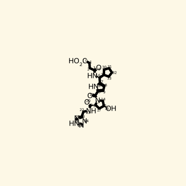 O=C(O)CCC(=O)N[C@H](c1ccc(C(=O)N2C[C@@H](O)C[C@H]2C(=O)NCc2nn[nH]n2)[nH]1)C1CCCC1